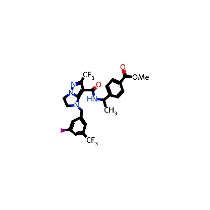 COC(=O)c1ccc(C(C)NC(=O)c2c(C(F)(F)F)nn3c2N(Cc2cc(I)cc(C(F)(F)F)c2)CC3)cc1